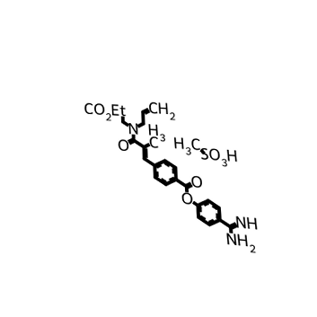 C=CCN(CC(=O)OCC)C(=O)/C(C)=C/c1ccc(C(=O)Oc2ccc(C(=N)N)cc2)cc1.CS(=O)(=O)O